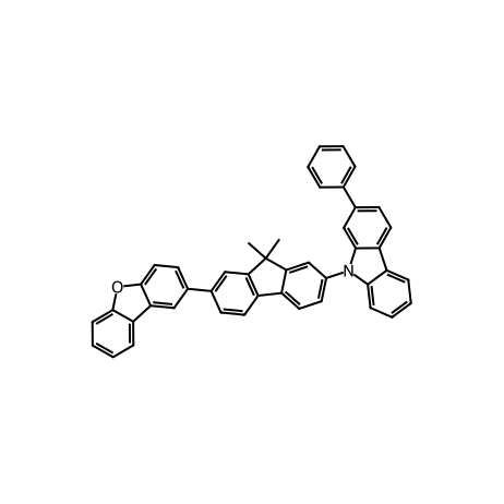 CC1(C)c2cc(-c3ccc4oc5ccccc5c4c3)ccc2-c2ccc(-n3c4ccccc4c4ccc(-c5ccccc5)cc43)cc21